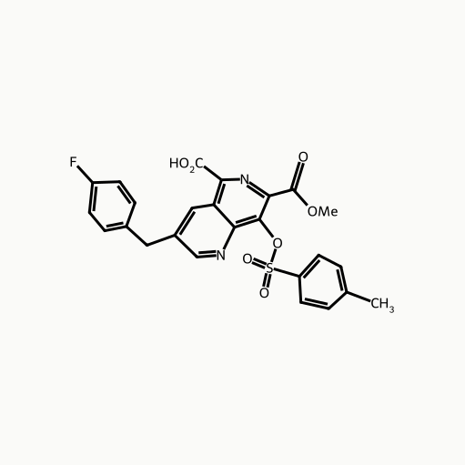 COC(=O)c1nc(C(=O)O)c2cc(Cc3ccc(F)cc3)cnc2c1OS(=O)(=O)c1ccc(C)cc1